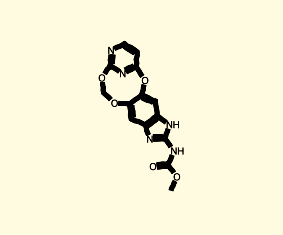 COC(=O)Nc1nc2cc3c(cc2[nH]1)Oc1ccnc(n1)OCO3